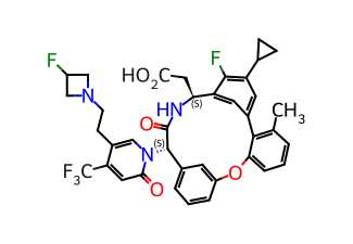 Cc1cccc2c1-c1cc(C3CC3)c(F)c(c1)[C@H](CC(=O)O)NC(=O)[C@@H](n1cc(CCN3CC(F)C3)c(C(F)(F)F)cc1=O)c1cccc(c1)O2